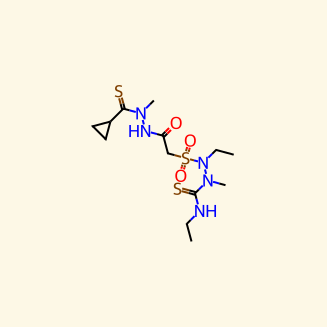 CCNC(=S)N(C)N(CC)S(=O)(=O)CC(=O)NN(C)C(=S)C1CC1